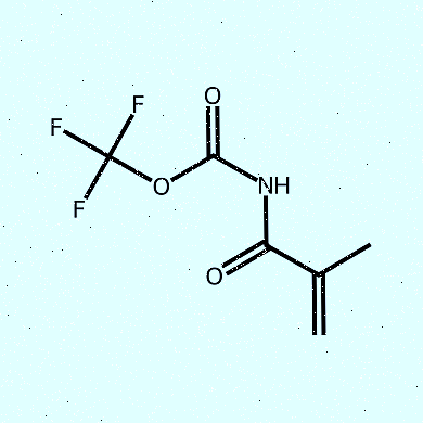 C=C(C)C(=O)NC(=O)OC(F)(F)F